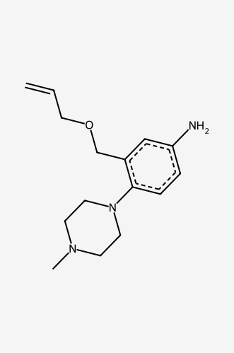 C=CCOCc1cc(N)ccc1N1CCN(C)CC1